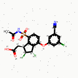 CC(=O)NS(=O)(=O)c1ccc(Oc2cc(F)cc(C#N)c2)c2c1[C@H](CC(=O)O)[C@H](F)[C@H]2F